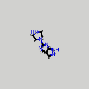 c1n[nH]c2nc(N3CCNCC3)ncc12